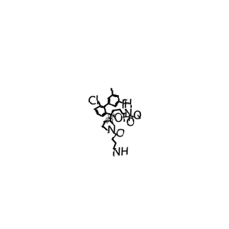 CNCCCC(=O)N1CCC[C@@H]([C@@](O)(CCCNC(=O)OC)c2cccc(Cl)c2-c2cc(C)cc(F)c2)C1